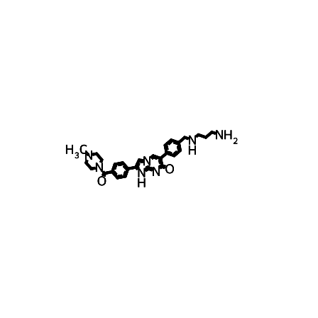 CN1CCN(C(=O)c2ccc(-c3cn4cc(-c5ccc(CNCCCN)cc5)c(=O)nc4[nH]3)cc2)CC1